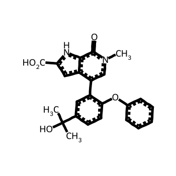 Cn1cc(-c2cc(C(C)(C)O)ccc2Oc2ccccc2)c2cc(C(=O)O)[nH]c2c1=O